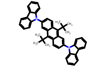 CC(C)(C)c1c2ccc(-n3c4ccccc4c4ccccc43)cc2c(C(C)(C)C)c2ccc(-n3c4ccccc4c4ccccc43)cc12